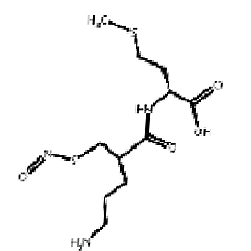 CSCC[C@H](NC(=O)C(CCCN)CSN=O)C(=O)O